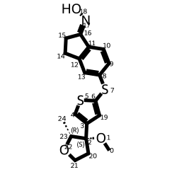 CO[C@]1(c2csc(Sc3ccc4c(c3)CCC4=NO)c2)CCO[C@@H]1C